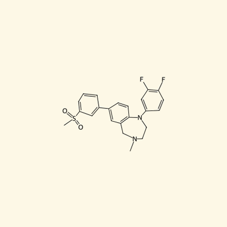 CN1CCN(c2ccc(F)c(F)c2)c2ccc(-c3cccc(S(C)(=O)=O)c3)cc2C1